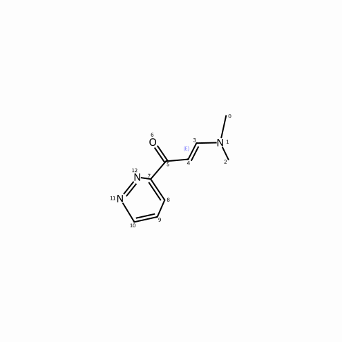 CN(C)/C=C/C(=O)c1cccnn1